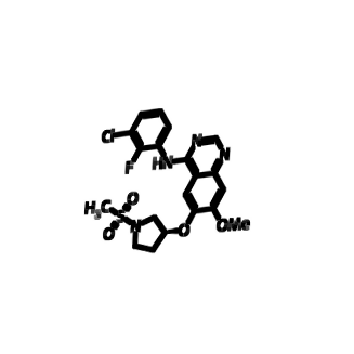 COc1cc2ncnc(Nc3cccc(Cl)c3F)c2cc1O[C@H]1CCN(S(C)(=O)=O)C1